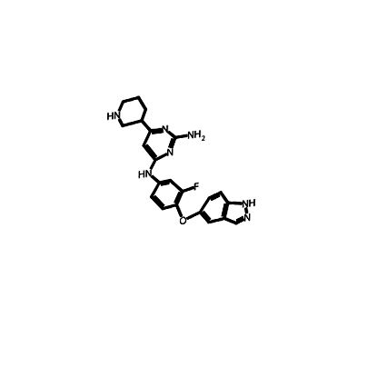 Nc1nc(Nc2ccc(Oc3ccc4[nH]ncc4c3)c(F)c2)cc(C2CCCNC2)n1